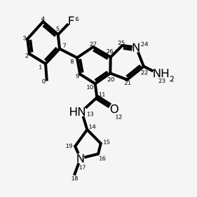 Cc1cccc(F)c1-c1cc(C(=O)NC2CCN(C)C2)c2cc(N)ncc2c1